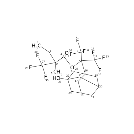 CCC(C)(C(=O)OC(C(F)(F)F)(C(F)(F)F)C12CC3CC(CC(O)(C3)C1)C2)C(F)(F)F